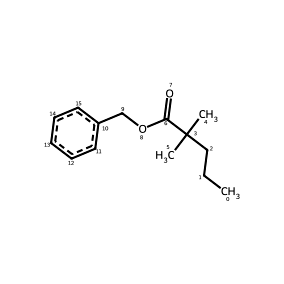 CCCC(C)(C)C(=O)OCc1ccccc1